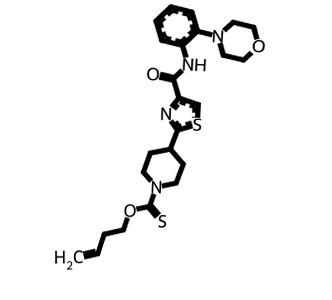 C=CCCOC(=S)N1CCC(c2nc(C(=O)Nc3ccccc3N3CCOCC3)cs2)CC1